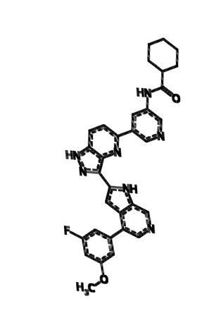 COc1cc(F)cc(-c2cncc3[nH]c(-c4n[nH]c5ccc(-c6cncc(NC(=O)C7CCCCC7)c6)nc45)cc23)c1